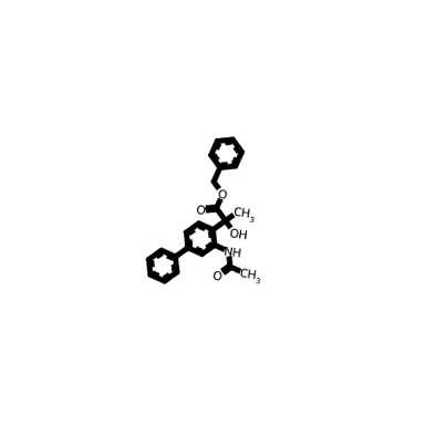 CC(=O)Nc1cc(-c2ccccc2)ccc1C(C)(O)C(=O)OCc1ccccc1